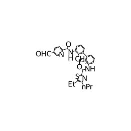 CCCc1nc(C(=O)Nc2cccc(-c3cccc(NC(=O)c4ccc(C=O)cn4)c3C)c2F)sc1CC